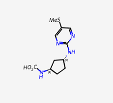 CSc1cnc(N[C@@H]2CC[C@@H](NC(=O)O)C2)nc1